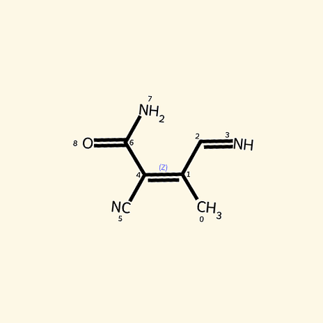 C/C(C=N)=C(\C#N)C(N)=O